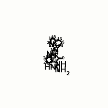 C=C(CNC(=N)N)Cn1c(CN(C)C2CCCc3cccnc32)nc2ccccc21